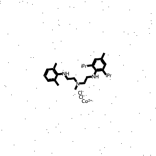 Cc1cc(C(C)C)c(NCCN(C)CCNc2c(C)cccc2C)c(C(C)C)c1.[Cl-].[Cl-].[Co+2]